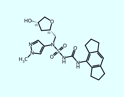 Cn1cc(N(C[C@@H]2C[C@H](O)CO2)S(=O)(=O)NC(=O)Nc2c3c(cc4c2CCC4)CCC3)cn1